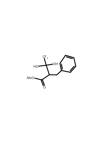 COC(=O)C(Cc1ccccc1)C(O)(O)C(F)(F)F